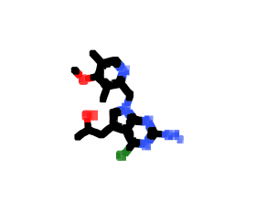 COc1c(C)cnc(Cn2cc(CC(C)O)c3c(Cl)nc(N)nc32)c1C